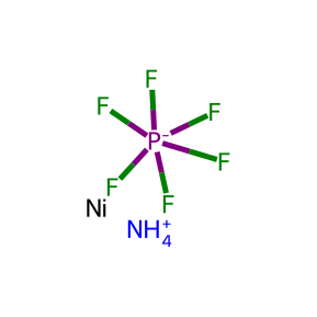 F[P-](F)(F)(F)(F)F.[NH4+].[Ni]